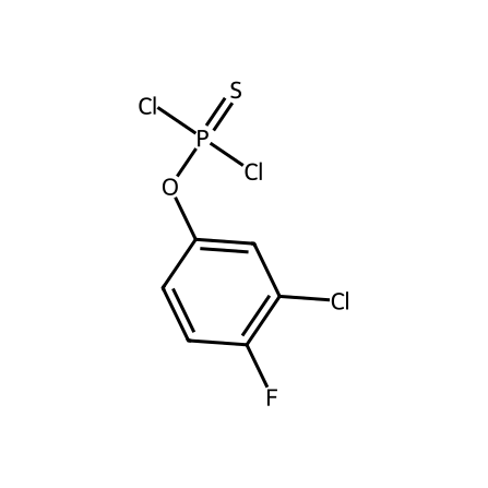 Fc1ccc(OP(=S)(Cl)Cl)cc1Cl